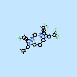 Cc1cc(C)cc(-c2ccc3c(c2)c2cc(-c4cc(C)cc(C(F)(F)F)c4)ccc2n3-c2ccc(-c3cccc(-c4ccc(-n5c6ccc(-c7cc(C)cc(C(F)(F)F)c7)cc6c6cc(-c7cc(C(F)(F)F)cc(C(F)(F)F)c7)ccc65)c(-c5nc(-c6ccccc6)nc(-c6ccccc6)n5)c4)c3)cc2-c2nc(-c3ccccc3)nc(-c3ccccc3)n2)c1